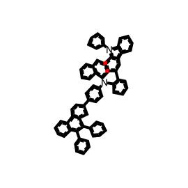 c1ccc(-c2c(-c3ccccc3)c3cc(-c4ccc(N(c5ccccc5-c5ccc6c(c5)c5ccccc5n6-c5ccccc5)c5cccc6ccccc56)cc4)ccc3c3ccccc23)cc1